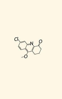 COc1c2c(nc3cc(Cl)ccc13)C(=O)CCC2